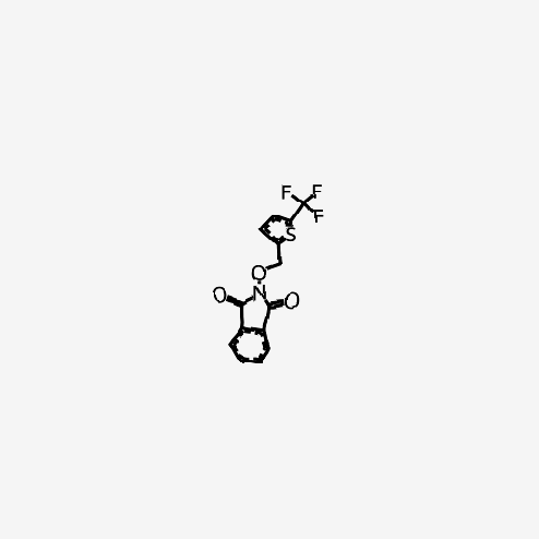 O=C1c2ccccc2C(=O)N1OCc1ccc(C(F)(F)F)s1